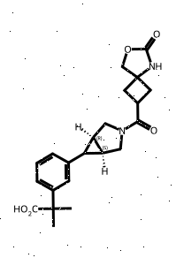 CC(C)(C(=O)O)c1cccc(C2[C@H]3CN(C(=O)C4CC5(COC(=O)N5)C4)C[C@@H]23)c1